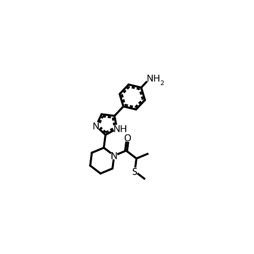 CSC(C)C(=O)N1CCCCC1c1ncc(-c2ccc(N)cc2)[nH]1